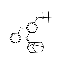 CC(C)(C)[Si](C)(C)Oc1ccc2c(c1)Oc1ccccc1C2=C1C2CC3CC(C2)CC1C3